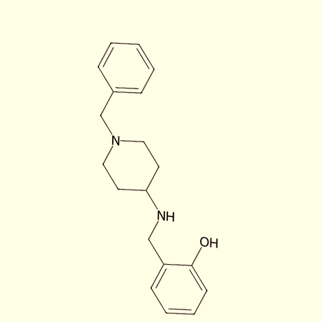 Oc1ccccc1CNC1CCN(Cc2ccccc2)CC1